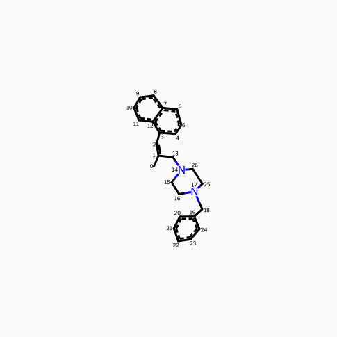 CC(=Cc1cccc2ccccc12)CN1CCN(Cc2ccccc2)CC1